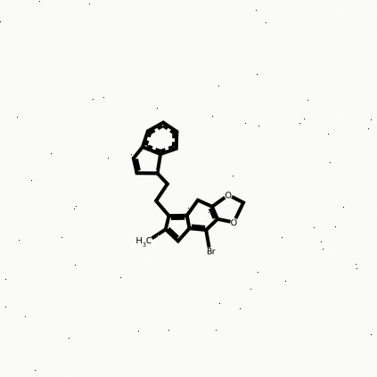 CC1=CC2=C(Br)C3=C(CC2=C1CCC1C=Cc2ccccc21)OCO3